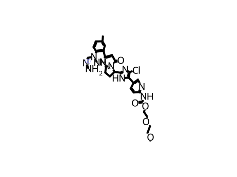 COCCOCCOC(=O)Nc1ccc(-c2[nH]c(C3CCc4nc(-c5cc(C)ccc5N(N)/C=N\N)cc(=O)n43)nc2Cl)cn1